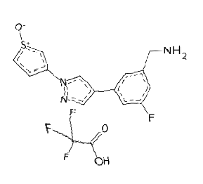 NCc1cc(F)cc(-c2cnn(-c3cc[s+]([O-])c3)c2)c1.O=C(O)C(F)(F)F